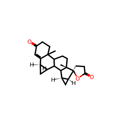 CC12CCC(=O)C=C1[C@@H]1C[C@@H]1C1C2CC[C@@]2(C)C1[C@@H]1C[C@@H]1[C@@]21CCC(=O)O1